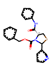 O=C(Nc1ccccc1)[C@@H]1CSC(c2cccnc2)N1C(=O)OCc1ccccc1